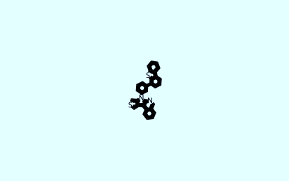 c1cc(-c2cccc3c2sc2ccccc23)cc(-n2c3cscc3c3c4ccccc4cnc32)c1